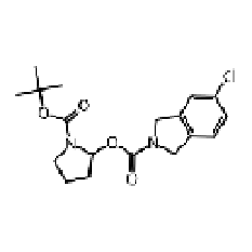 CC(C)(C)OC(=O)N1CCCC1OC(=O)N1Cc2ccc(Cl)cc2C1